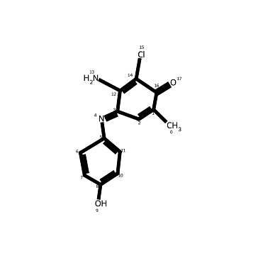 CC1=CC(=Nc2ccc(O)cc2)C(N)=C(Cl)C1=O